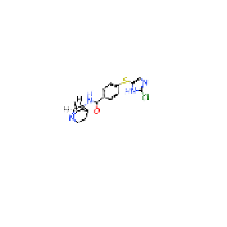 C[C@H]1[C@H](NC(=O)c2ccc(Sc3cnc(Cl)[nH]3)cc2)C2CCN1CC2